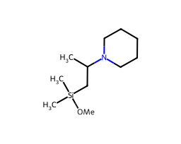 CO[Si](C)(C)CC(C)N1CCCCC1